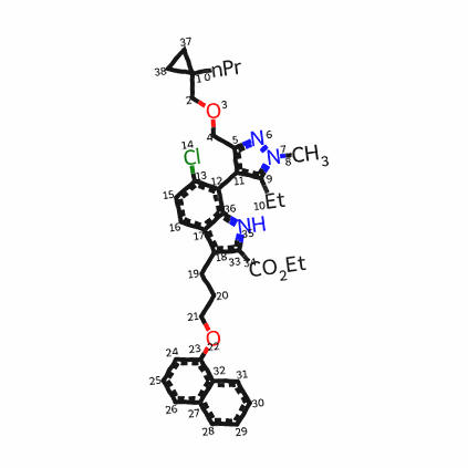 CCCC1(COCc2nn(C)c(CC)c2-c2c(Cl)ccc3c(CCCOc4cccc5ccccc45)c(C(=O)OCC)[nH]c23)CC1